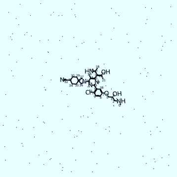 CNC[C@@H](O)COc1ccc(Cl)c(-c2nc(/C(C(C)=N)=C(\C)O)c(C)c(N3CC4(CCC(C#N)CC4)C3)n2)c1